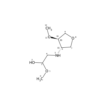 COC(O)CN[C@H]1COC[C@@H]1OC